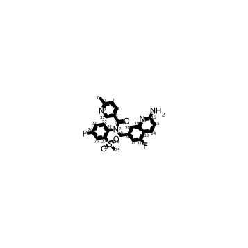 Cc1ccc(C(=O)N(Cc2cc(F)c3ccc(N)nc3c2)c2ccc(F)cc2S(C)(=O)=O)cn1